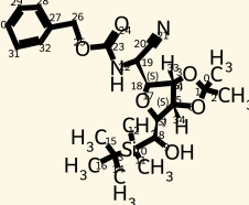 CC1(C)O[C@@H]2[C@H](O1)[C@@H](C(O)[Si](C)(C)C(C)(C)C)O[C@H]2C(C#N)NC(=O)OCc1ccccc1